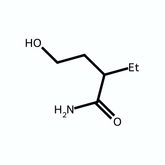 [CH2]CC(CCO)C(N)=O